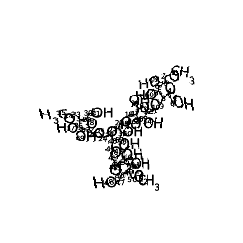 COCC1OC(CO)C(COCC2OC(CO)C(COCC3OC(COCC4OC(CO)C(COC)C(O)C4O)C(COCC4OC(CO)C(COC)C(O)C4O)C(O)C3O)C(O)C2O)C(O)C1O